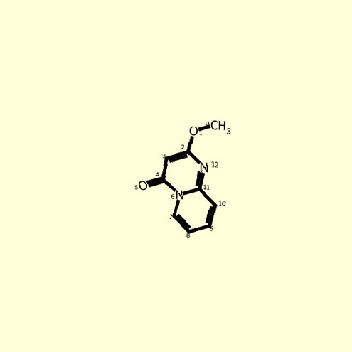 COc1cc(=O)n2ccccc2n1